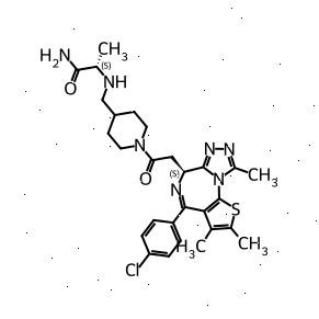 Cc1sc2c(c1C)C(c1ccc(Cl)cc1)=N[C@@H](CC(=O)N1CCC(CN[C@@H](C)C(N)=O)CC1)c1nnc(C)n1-2